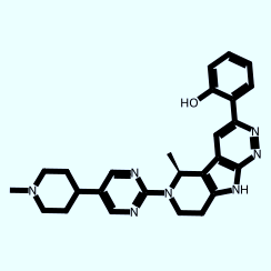 C[C@H]1c2c([nH]c3nnc(-c4ccccc4O)cc23)CCN1c1ncc(C2CCN(C)CC2)cn1